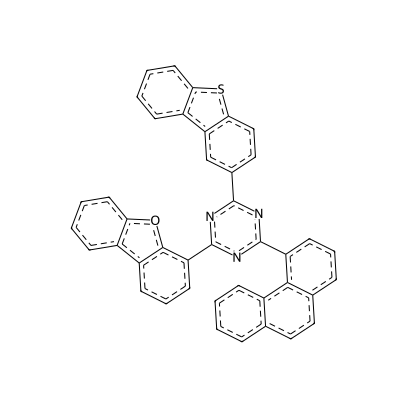 c1ccc2c(c1)ccc1cccc(-c3nc(-c4ccc5sc6ccccc6c5c4)nc(-c4cccc5c4oc4ccccc45)n3)c12